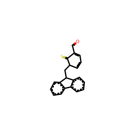 O=[C]C1=CC=CC(CC2c3ccccc3-c3ccccc32)C1=S